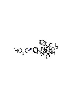 CC(C1CCCCC1)n1c(=O)[nH]c(=O)c2nc(-c3ccc(/C=C/C(=O)O)cc3)[nH]c21